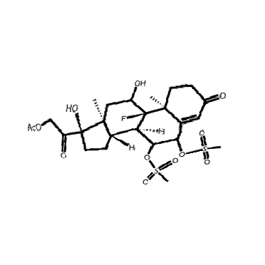 CC(=O)OCC(=O)[C@@]1(O)CC[C@H]2[C@@H]3C(OS(C)(=O)=O)C(OS(C)(=O)=O)C4=CC(=O)CC[C@]4(C)[C@@]3(F)C(O)C[C@@]21C